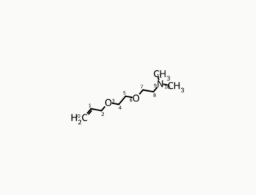 C=CCOCCOCCN(C)C